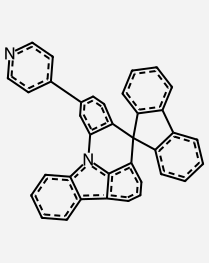 c1ccc2c(c1)-c1ccccc1C21c2ccc(-c3ccncc3)cc2-n2c3ccccc3c3cccc1c32